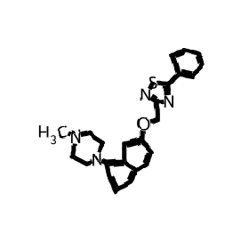 CN1CCN(c2cccc3ccc(OCc4nsc(-c5ccccc5)n4)cc23)CC1